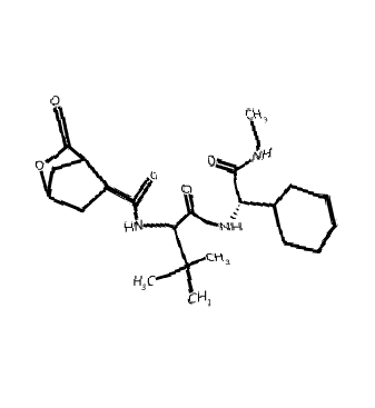 CNC(=O)[C@@H](NC(=O)C(NC(=O)C1CC2CC1C(=O)O2)C(C)(C)C)C1CCCCC1